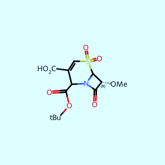 CO[C@@H]1C(=O)N2C(C(=O)OC(C)(C)C)C(C(=O)O)=CS(=O)(=O)C12